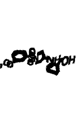 COc1cccc(S(=O)(=O)N2CCC(Nc3ccccc3CO)CC2)c1